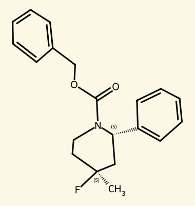 C[C@]1(F)CCN(C(=O)OCc2ccccc2)[C@H](c2ccccc2)C1